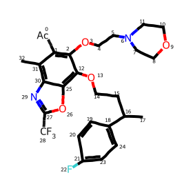 CC(=O)c1c(OCCN2CCOCC2)c(OCCC(C)c2ccc(F)cc2)c2oc(C(F)(F)F)nc2c1C